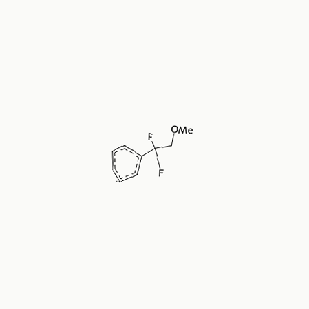 COCC(F)(F)c1c[c]ccc1